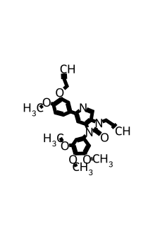 C#CCOc1cc(-c2cc3c(cn2)n(CC#C)c(=O)n3-c2cc(OC)c(OC)c(OC)c2)ccc1OC